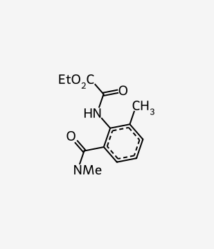 CCOC(=O)C(=O)Nc1c(C)cccc1C(=O)NC